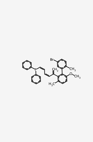 C=C(/C=C\C=C/P(c1ccccc1)c1ccccc1)c1c(C)ccc(OC)c1-c1cc(Br)ccc1C